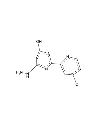 NNc1nc(O)nc(-c2cc(Cl)ccn2)n1